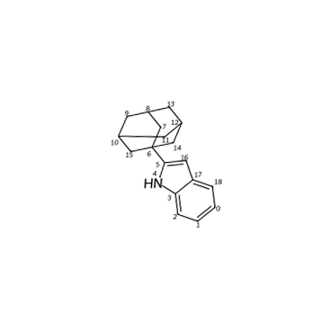 c1ccc2[nH]c(C34CC5CC(CC(C5)C3)C4)cc2c1